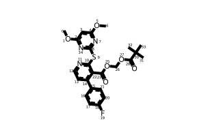 COc1cc(OC)nc(Sc2nccc(-c3ccc(F)cc3)c2C(=O)OCOC(=O)C(C)(C)C)n1